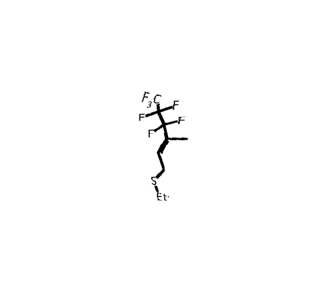 C[CH]SC/C=C(\C)C(F)(F)C(F)(F)C(F)(F)F